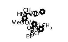 CCOCOC(=O)c1ccccc1Nc1c(Cl)ccc(C)c1Cl.COc1cc2[nH]c(C)c(CCN3CCN(c4ccccc4)CC3)c2cc1OC